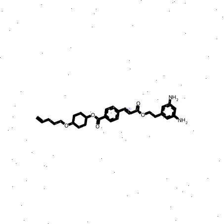 C=CCCCOC1CCC(OC(=O)c2ccc(/C=C/C(=O)OCCc3cc(N)cc(N)c3)cc2)CC1